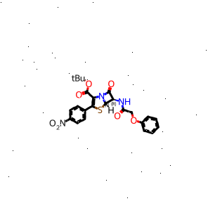 CC(C)(C)OC(=O)C1=C(c2ccc([N+](=O)[O-])cc2)S[C@@H]2[C@H](NC(=O)COc3ccccc3)C(=O)N12